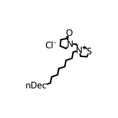 CCCCCCCCCCCCCCCCCC[N+]1(CN2CCCC2=O)CCSC1.[Cl-]